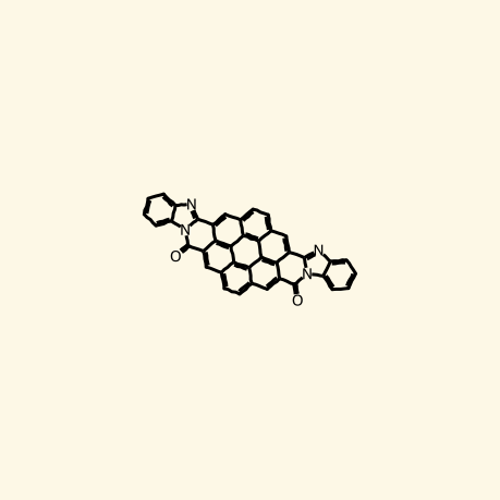 O=c1c2cc3ccc4cc5c(=O)n6c7ccccc7nc6c6cc7ccc8cc(c2c2c3c4c(c56)c7c82)c2nc3ccccc3n12